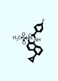 CS(=O)(=O)Nc1ccc2c(C3CC3)cccc2c1NC(=O)c1ccc(F)cc1